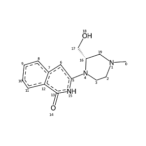 CN1CCN(c2cc3ccccc3c(=O)[nH]2)[C@H](CO)C1